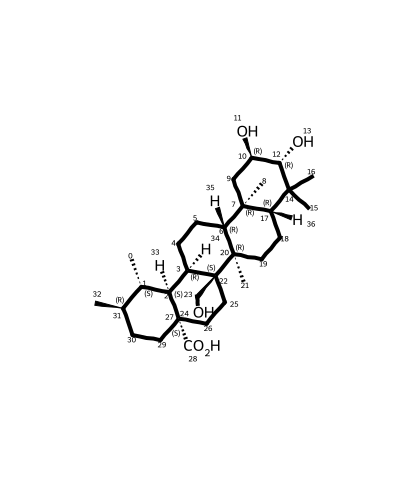 C[C@@H]1[C@H]2[C@H]3CC[C@@H]4[C@@]5(C)C[C@@H](O)[C@H](O)C(C)(C)[C@@H]5CC[C@@]4(C)[C@]3(CO)CC[C@@]2(C(=O)O)CC[C@H]1C